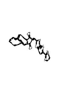 O=C1C(=Cc2nc3sc(-c4nccs4)cc3o2)C(=O)c2cc3ccccc3cc21